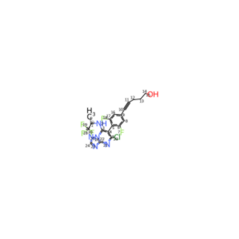 C[C@H](Nc1c(-c2c(F)cc(C#CCCCO)cc2F)c(Cl)nc2ncnn12)C(F)(F)F